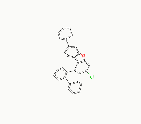 Clc1cc(-c2ccccc2-c2ccccc2)c2c(c1)oc1cc(-c3ccccc3)ccc12